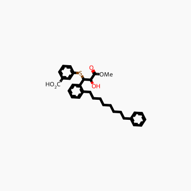 COC(=O)C(O)C(Sc1cccc(C(=O)O)c1)c1ccccc1CCCCCCCCc1ccccc1